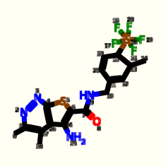 Cc1nnc2sc(C(=O)NCC3=CC(C)C(S(F)(F)(F)(F)F)C=C3)c(N)c2c1C